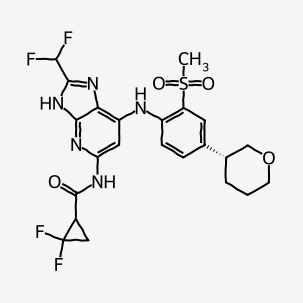 CS(=O)(=O)c1cc([C@H]2CCCOC2)ccc1Nc1cc(NC(=O)C2CC2(F)F)nc2[nH]c(C(F)F)nc12